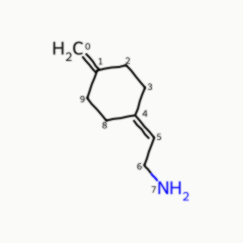 C=C1CCC(=CCN)CC1